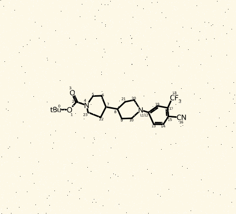 CC(C)(C)OC(=O)N1CCC(C2CCN(c3ccc(C#N)c(C(F)(F)F)c3)CC2)CC1